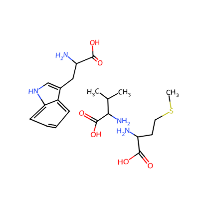 CC(C)C(N)C(=O)O.CSCCC(N)C(=O)O.NC(Cc1c[nH]c2ccccc12)C(=O)O